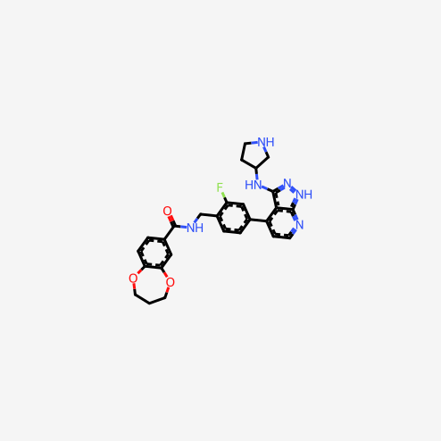 O=C(NCc1ccc(-c2ccnc3[nH]nc(NC4CCNC4)c23)cc1F)c1ccc2c(c1)OCCCO2